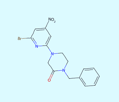 O=C1CN(c2cc([N+](=O)[O-])cc(Br)n2)CCN1Cc1ccccc1